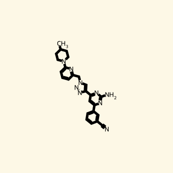 CC1CCN(c2cccc(Cn3cc(-c4cc(-c5cccc(C#N)c5)nc(N)n4)nn3)n2)CC1